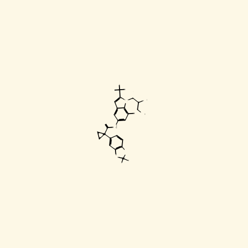 CC(C)(C)c1cc2cc(NC(=O)C3(c4ccc5c(c4)OC(F)(F)O5)CC3)cc(F)c2n1CC(O)CO